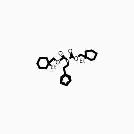 CCC1(COC(=O)N(CCc2ccccc2)C(=O)OCC2(CC)CCCCC2)CCCCC1